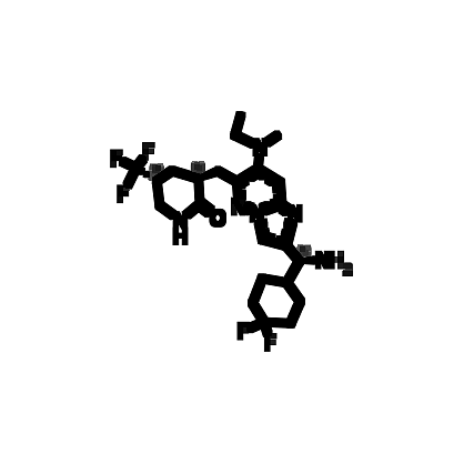 CCN(C)c1cc2nc([C@@H](N)C3CCC(F)(F)CC3)cn2nc1C[C@@H]1C[C@@H](C(F)(F)F)CNC1=O